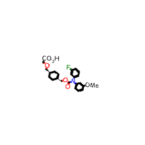 COc1cccc(N(C(=O)OC[C@H]2CC[C@H](COCC(=O)O)CC2)c2cccc(F)c2)c1